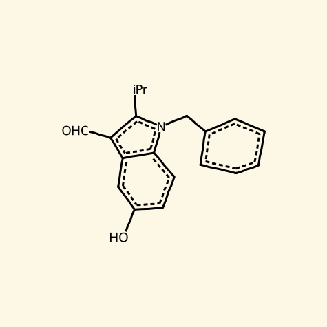 CC(C)c1c(C=O)c2cc(O)ccc2n1Cc1ccccc1